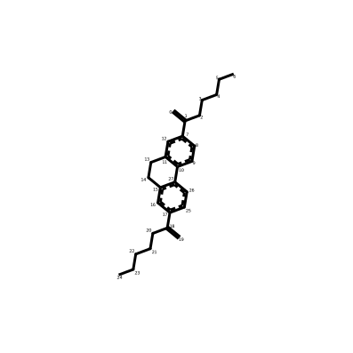 C=C(CCCCC)c1ccc2c(c1)CCc1cc(C(=C)CCCCC)ccc1-2